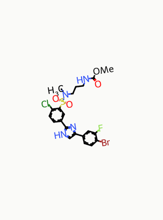 COC(=O)NCCCN(C)S(=O)(=O)c1cc(-c2nc(-c3ccc(Br)c(F)c3)c[nH]2)ccc1Cl